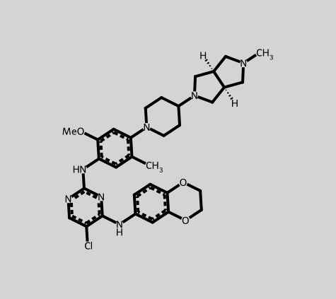 COc1cc(N2CCC(N3C[C@H]4CN(C)C[C@H]4C3)CC2)c(C)cc1Nc1ncc(Cl)c(Nc2ccc3c(c2)OCCO3)n1